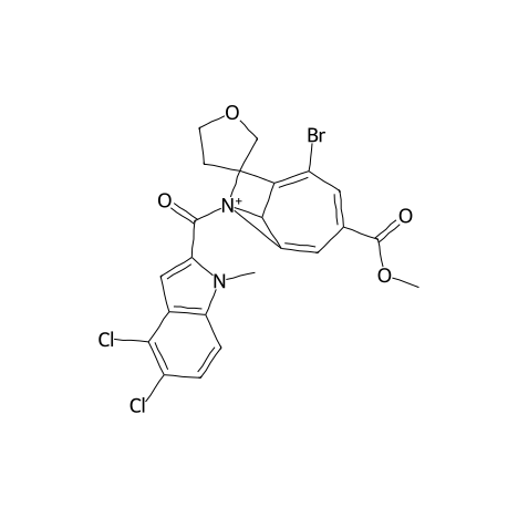 COC(=O)C1=CC(Br)=C2C3C(=C1)[N+]3(C(=O)c1cc3c(Cl)c(Cl)ccc3n1C)C21CCOC1